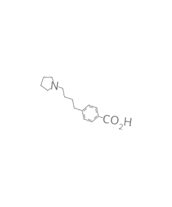 O=C(O)c1ccc(CCCCN2CCCC2)cc1